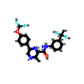 Cc1ncc(-c2ccc(OC(F)F)cc2)nc1C(=O)Nc1cccc(C(C)(F)F)c1